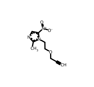 C#CCOCCn1c([N+](=O)[O-])cnc1C